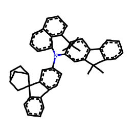 CC(C)(C)c1cccc2cccc(N(c3ccc4c(c3)C(C)(C)c3ccccc3-4)c3ccc4c(c3)C3(CC5CCC3C5)c3ccccc3-4)c12